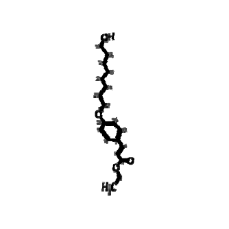 CCOC(=O)C=Cc1ccc(OCCCCCCCCO)cc1